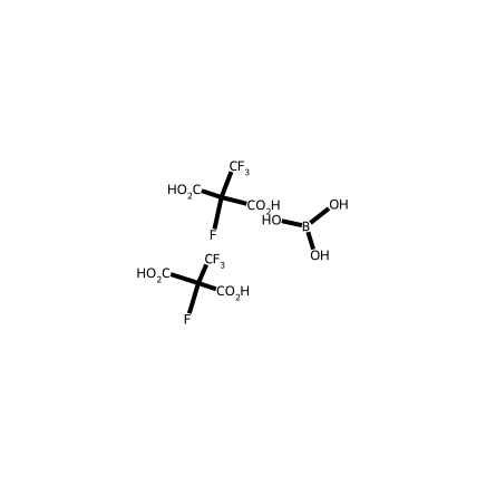 O=C(O)C(F)(C(=O)O)C(F)(F)F.O=C(O)C(F)(C(=O)O)C(F)(F)F.OB(O)O